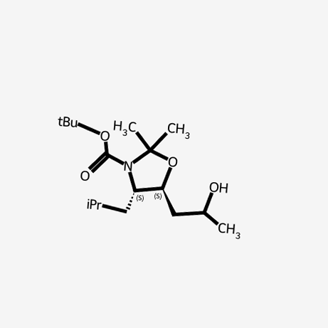 CC(C)C[C@H]1[C@H](CC(C)O)OC(C)(C)N1C(=O)OC(C)(C)C